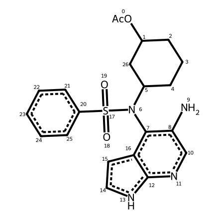 CC(=O)OC1CCCC(N(c2c(N)cnc3[nH]ccc23)S(=O)(=O)c2ccccc2)C1